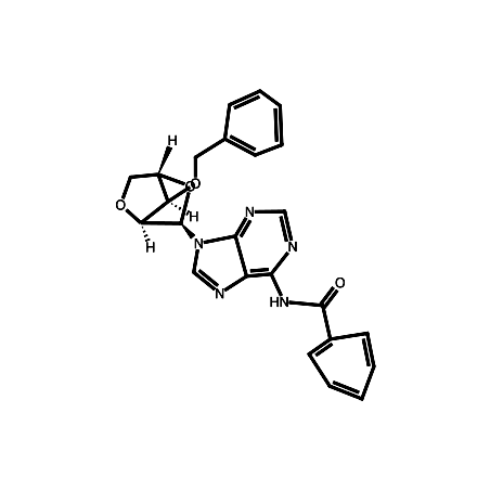 O=C(Nc1ncnc2c1ncn2[C@@H]1O[C@H]2CO[C@H]1[C@@H]2OCc1ccccc1)c1ccccc1